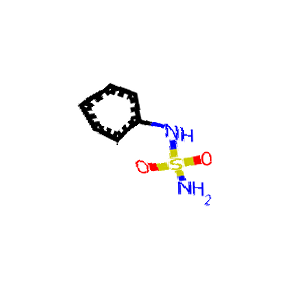 NS(=O)(=O)Nc1[c]cccc1